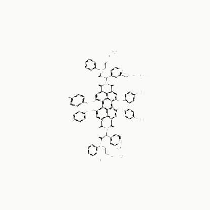 COOCc1cc(C(C(=O)N(CCSOC)c2ccccc2)N2C(=O)c3cc(Oc4ccc(C)cc4)c4c5c(Oc6ccc(C)cc6)cc6c7c(cc(Oc8ccc(C)cc8)c(c8c(Oc9ccc(C)cc9)cc(c3c48)C2=O)c75)C(=O)N(C(C(=O)N(CC[Si](OC)(OC)OC)c2ccccc2)c2ccncc2)C6=O)ccn1